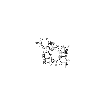 CC1Oc2cc(cnc2N)-c2c(nn(C)c2CC2CC2)Cc2cn(C)nc2-c2ccc(F)cc21